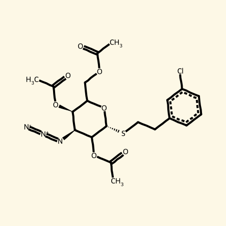 CC(=O)OCC1O[C@H](SCCc2cccc(Cl)c2)C(OC(C)=O)[C@@H](N=[N+]=[N-])[C@H]1OC(C)=O